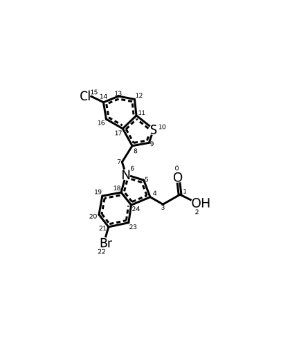 O=C(O)Cc1cn(Cc2csc3ccc(Cl)cc23)c2ccc(Br)cc12